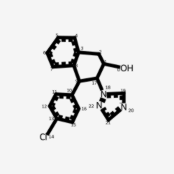 OC1Cc2ccccc2C(c2ccc(Cl)cc2)C1n1cncn1